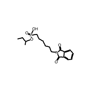 CCC(C)OP(=O)(O)CCCCCCN1C(=O)c2ccccc2C1=O